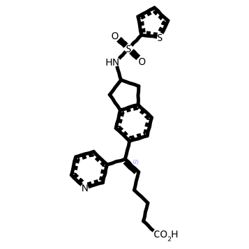 O=C(O)CCC/C=C(\c1cccnc1)c1ccc2c(c1)CC(NS(=O)(=O)c1cccs1)C2